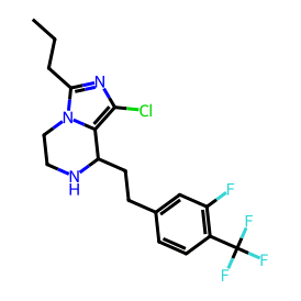 CCCc1nc(Cl)c2n1CCNC2CCc1ccc(C(F)(F)F)c(F)c1